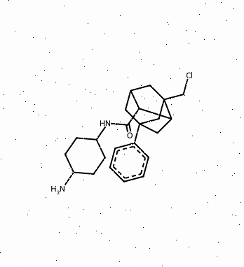 NC1CCC(NC(=O)C2C3CC4(c5ccccc5)CC2C(CCl)(C3)C4)CC1